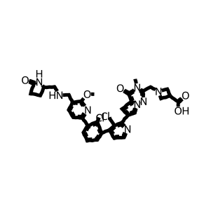 COc1nc(-c2cccc(-c3ccnc(-c4cc5c(=O)n(C)c(CN6CC(C(=O)O)C6)nn5c4)c3Cl)c2Cl)ccc1CNCC1CCC(=O)N1